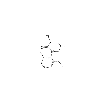 CCc1cccc(C)c1N(CC(C)C)C(=O)CCl